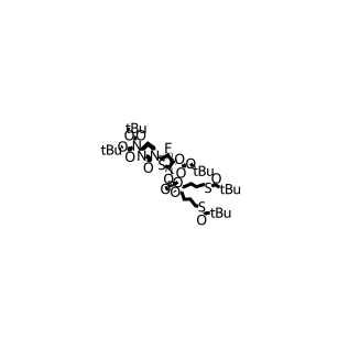 CC(C)(C)OC(=O)O[C@H]1[C@H](F)[C@H](n2ccc(N(C(=O)OC(C)(C)C)C(=O)OC(C)(C)C)nc2=O)S[C@@H]1COP(=O)(OCCCCSC(=O)C(C)(C)C)OCCCCSC(=O)C(C)(C)C